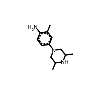 Cc1cc(N2CC(C)NC(C)C2)ccc1N